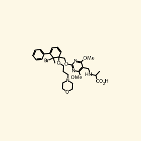 COc1nc(OCC2(OCCCN3CCOCC3)C=CC=C(c3ccccc3)C2(C)Br)nc(OC)c1CNC(C)C(=O)O